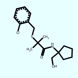 CC(C)(SCc1ccccc1Cl)C(=O)NC1(CO)CCCC1